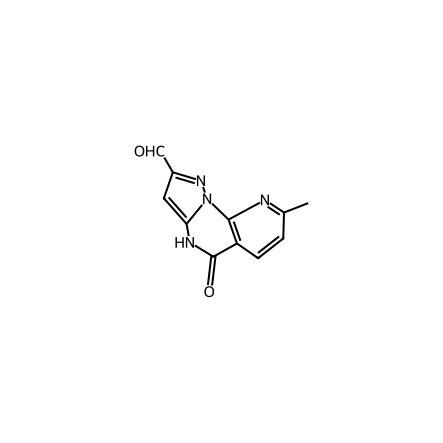 Cc1ccc2c(=O)[nH]c3cc(C=O)nn3c2n1